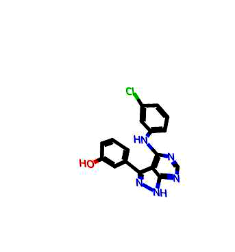 Oc1cccc(-c2n[nH]c3ncnc(Nc4cccc(Cl)c4)c23)c1